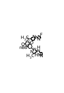 CCCCN1C(=O)CN(C(C)c2ccc(-n3cc(F)cn3)nc2)C(=O)C12CCC(c1nc(C)cc(Nc3ccn[nH]3)n1)CC2